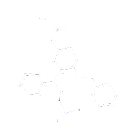 COC(=O)Cc1ccc(OCc2ccccc2)c(C(CCN(C(C)C)C(C)C)c2ccccc2)c1